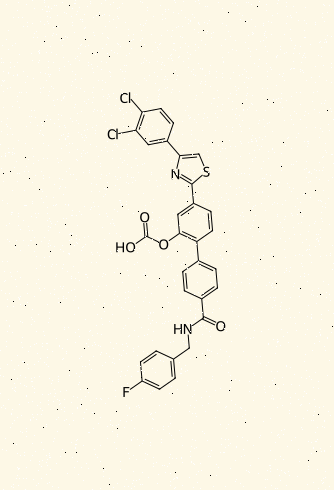 O=C(O)Oc1cc(-c2nc(-c3ccc(Cl)c(Cl)c3)cs2)ccc1-c1ccc(C(=O)NCc2ccc(F)cc2)cc1